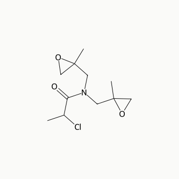 CC(Cl)C(=O)N(CC1(C)CO1)CC1(C)CO1